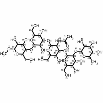 CO[C@@H]1OC(CO)[C@H](O[C@H]2OC(CO)[C@H](O)[C@H](O[C@@H]3OC(CO)[C@H](O)[C@H](O[C@@H]4OC(CO)[C@H](O)[C@H](O)C4O[C@@H]4OC(C)[C@@H](O)[C@H](O)C4O)C3NC(C)=O)C2O)[C@H](O)C1O